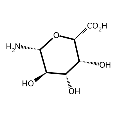 N[C@@H]1O[C@H](C(=O)O)[C@H](O)[C@H](O)[C@H]1O